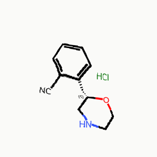 Cl.N#Cc1ccccc1[C@H]1CNCCO1